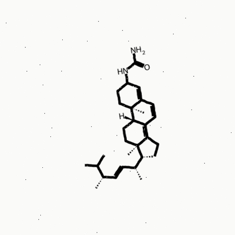 CC(C)[C@@H](C)/C=C/[C@@H](C)[C@H]1CCC2=C3C=CC4=CC(NC(N)=O)CC[C@]4(C)[C@H]3CC[C@@]21C